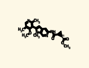 COC(=O)[C@H]1CC1C(=O)Nc1cc2cc(-c3c(C)ncc(C)c3OC)n(C)c2cn1